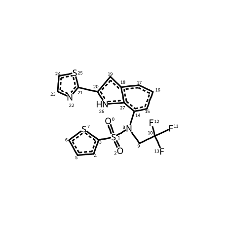 O=S(=O)(c1cccs1)N(CC(F)(F)F)c1cccc2cc(-c3nccs3)[nH]c12